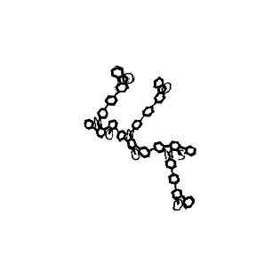 c1ccc2c(c1)oc1ccc(-c3ccc(-c4ccc(-n5c6cc(-c7cccc8c7oc7ccc9c%10ccccc%10n(-c%10ccc(-c%11ccc(-c%12ccc%13oc%14ccccc%14c%13c%12)cc%11)cc%10)c9c78)ccc6c6cc7oc8ccc(-c9ccc%10c%11ccc%12c%13ccccc%13sc%12c%11n(-c%11ccc(-c%12ccc(-c%13ccc%14oc%15ccccc%15c%14c%13)cc%12)cc%11)c%10c9)cc8c7cc65)cc4)cc3)cc12